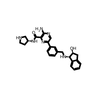 Nc1ncc(-c2cccc(CN[C@@H]3c4ccccc4C[C@@H]3O)c2)nc1C(=O)N[C@H]1CCNC1